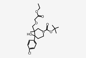 CCOC(=O)COCC1(C)CN(C(=O)OC(C)(C)C)CCC1(O)c1ccc(Cl)cc1